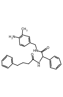 Cc1cc(CNC(=O)C(NC(=O)CCCc2ccccc2)c2ccccc2)ccc1N